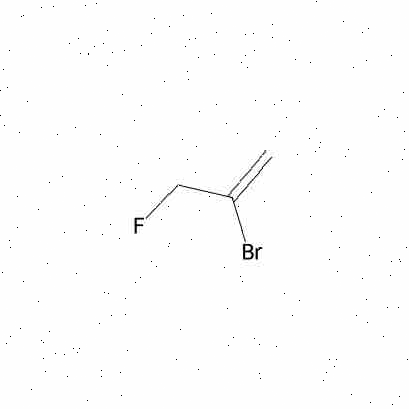 C=C(Br)CF